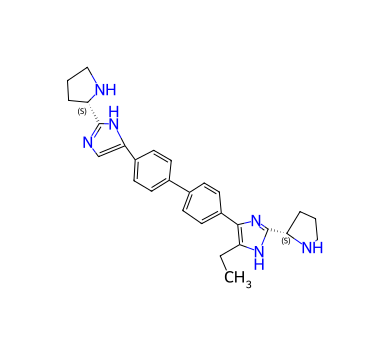 CCc1[nH]c([C@@H]2CCCN2)nc1-c1ccc(-c2ccc(-c3cnc([C@@H]4CCCN4)[nH]3)cc2)cc1